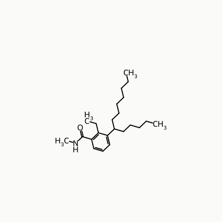 CCCCCCCC(CCCCC)c1cccc(C(=O)NC)c1CC